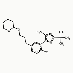 CC(C)(C)c1cc(N)n(-c2cc(OCCOC3CCCCO3)ccc2Cl)n1